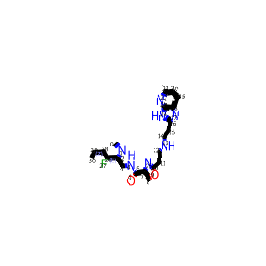 C=N/C(CNC(=O)c1coc(CCNCCc2nc3cccnc3[nH]2)n1)=C(F)\C=C/C